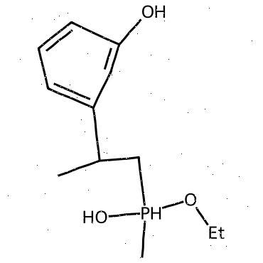 CCO[PH](C)(O)CC(C)c1cccc(O)c1